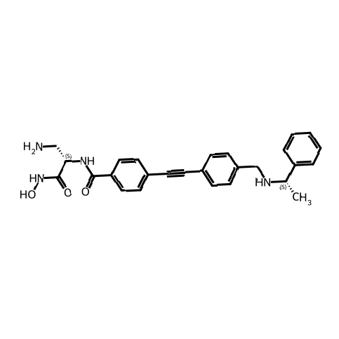 C[C@H](NCc1ccc(C#Cc2ccc(C(=O)N[C@@H](CN)C(=O)NO)cc2)cc1)c1ccccc1